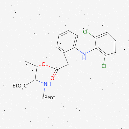 CCCCCNC(C(=O)OCC)C(C)OC(=O)Cc1ccccc1Nc1c(Cl)cccc1Cl